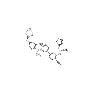 COc1ccc(CN2CCOCC2)cc1Nc1ncc(-c2ccc(C#N)c(OC(C)Cn3cnnn3)c2)cn1